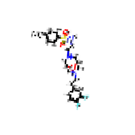 CN(CCN1CC2CN(CCc3ccc(F)c(F)c3)CC(C1)O2)S(=O)(=O)c1ccc(C#N)cc1